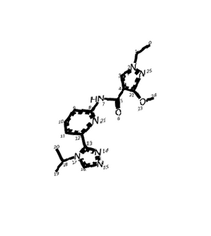 CCn1cc(C(=O)Nc2cccc(-c3nncn3C(C)C)n2)c(OC)n1